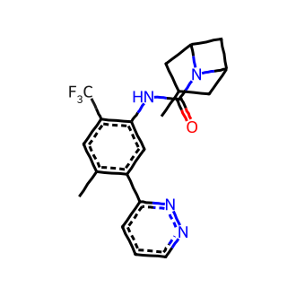 Cc1cc(C(F)(F)F)c(NC(=O)N2C3CC(C)CC2C3)cc1-c1cccnn1